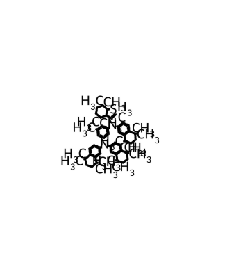 Cc1cc(N(C2=CSC3C2C(C)(C)CCC3(C)C)c2cc3c(cc2C)C(C)(C)CCC3(C)C)cc(N(c2ccc3c(c2)C(C)(C)CCC3(C)C)c2ccc3c(c2)C(C)(C)CCC3(C)C)c1